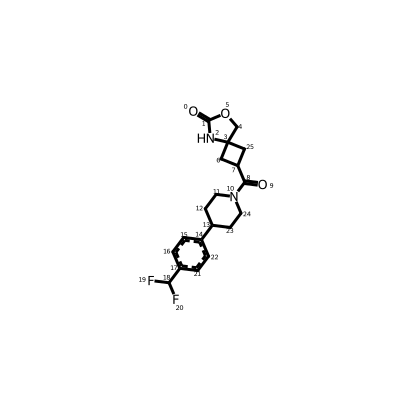 O=C1NC2(CO1)CC(C(=O)N1CCC(c3ccc(C(F)F)cc3)CC1)C2